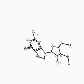 CCOC1OC(N2CNc3c2nc(N)[nH]c3=O)C(O)C1OI